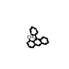 Cc1cccc2cc3ccccc3c(-c3ccccc3)c12